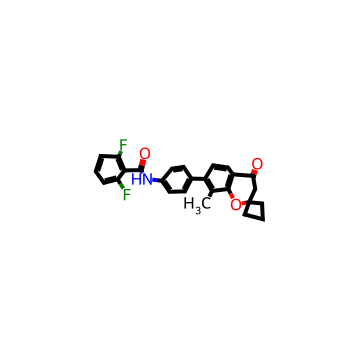 Cc1c(-c2ccc(NC(=O)c3c(F)cccc3F)cc2)ccc2c1OC1(CCC1)CC2=O